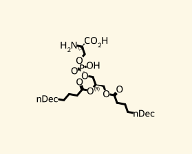 CCCCCCCCCCCCCC(=O)OC[C@H](COP(=O)(O)OC[C@H](N)C(=O)O)OC(=O)CCCCCCCCCCCCC